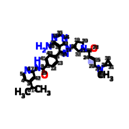 CC(C)c1ccnc(NC(=O)c2ccc(-c3nn([C@@H]4CCN(C(=O)/C=C/CN(C)C5CC5)C4)c4ncnc(N)c34)cc2)c1